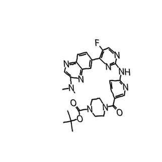 CN(C)c1cnc2ccc(-c3nc(Nc4ccc(C(=O)N5CCN(C(=O)OC(C)(C)C)CC5)cn4)ncc3F)cc2n1